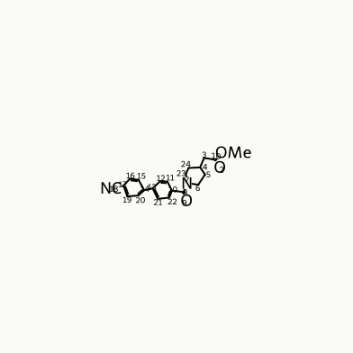 COC(=O)CC1CCN(C(=O)c2ccc(-c3ccc(C#N)cc3)cc2)CC1